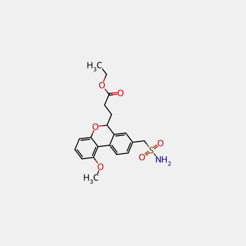 CCOC(=O)CCC1Oc2cccc(OC)c2-c2ccc(CS(N)(=O)=O)cc21